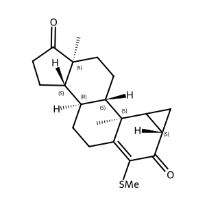 CSC1=C2CC[C@H]3[C@@H]4CCC(=O)[C@@]4(C)CC[C@@H]3[C@@]2(C)C2C[C@@H]2C1=O